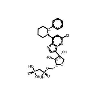 O=P(O)(O)CP(=O)(O)OC[C@H]1OC[C@](O)(c2cnc3c(N4CCCC[C@H]4c4ccccc4)cc(Cl)nn23)[C@@H]1O